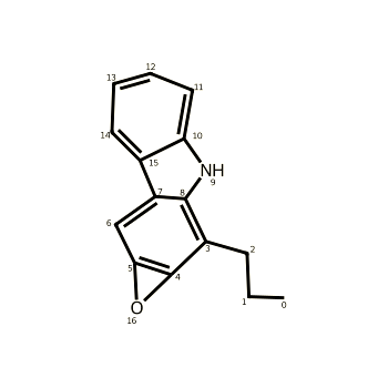 CCCc1c2c(cc3c1[nH]c1ccccc13)O2